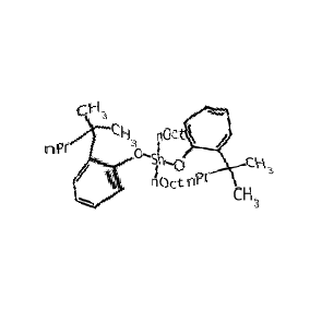 CCCCCCC[CH2][Sn]([CH2]CCCCCCC)([O]c1ccccc1C(C)(C)CCC)[O]c1ccccc1C(C)(C)CCC